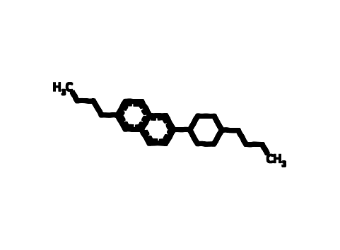 CCCCc1ccc2cc(C3CCC(CCCC)CC3)ccc2c1